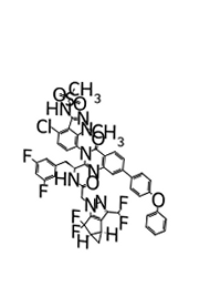 Cn1nc(NS(C)(=O)=O)c2c(Cl)ccc(-n3c([C@H](Cc4cc(F)cc(F)c4)NC(=O)Cn4nc(C(F)F)c5c4C(F)(F)[C@@H]4C[C@H]54)nc4cc(-c5ccc(Oc6ccccc6)cc5)ccc4c3=O)c21